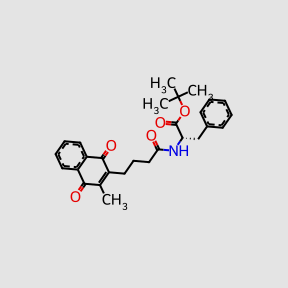 CC1=C(CCCC(=O)N[C@@H](Cc2ccccc2)C(=O)OC(C)(C)C)C(=O)c2ccccc2C1=O